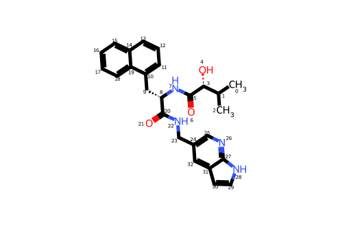 CC(C)[C@@H](O)C(=O)N[C@@H](Cc1cccc2ccccc12)C(=O)NCc1cnc2[nH]ccc2c1